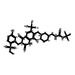 CCS(=O)(=O)c1ccc(Cl)cc1Cn1c(=O)[nH]c2c(Cl)c(CN3CCC[C@H](CNC(=O)OC(C)(C)C)C3)c(C(F)(F)F)cc2c1=O